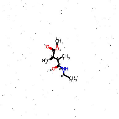 C=C(C(=O)OC)C(C)C(=O)NCC